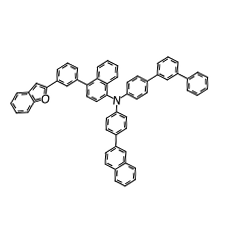 c1ccc(-c2cccc(-c3ccc(N(c4ccc(-c5ccc6ccccc6c5)cc4)c4ccc(-c5cccc(-c6cc7ccccc7o6)c5)c5ccccc45)cc3)c2)cc1